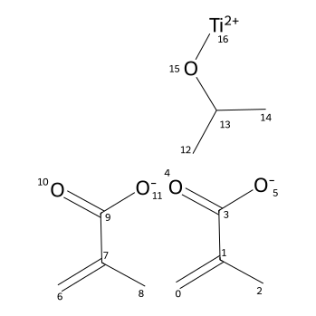 C=C(C)C(=O)[O-].C=C(C)C(=O)[O-].CC(C)[O][Ti+2]